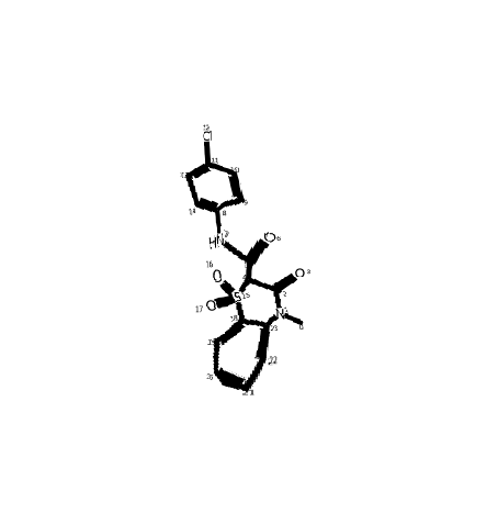 CN1C(=O)C(C(=O)Nc2ccc(Cl)cc2)S(=O)(=O)c2ccccc21